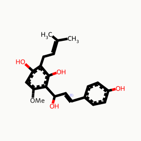 COc1cc(O)c(CC=C(C)C)c(O)c1C(O)/C=C/c1ccc(O)cc1